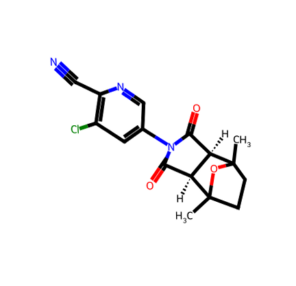 CC12CCC(C)(O1)[C@H]1C(=O)N(c3cnc(C#N)c(Cl)c3)C(=O)[C@H]12